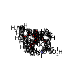 C/C=C1\NC(=O)[C@H](Cc2ccccc2)NC(=O)[C@@H]2CCCN2C(=O)[C@H](C(C)C)NC(=O)[C@H](Cc2c[nH]c3ccccc23)NC(=O)C2(CSCC(C(=O)N[C@@H](CS)C(=O)O)NC1=O)CC(NC(=O)[C@@H](CS)NC(=O)C1CSCC3(CC(N)C(=O)N[C@@H](CC(N)=O)C(=O)N[C@@H](C)C(=O)N3)C(=O)N[C@@H](C(C)C)C(=O)N[C@@H](Cc3c[nH]c4ccccc34)C(=O)N[C@@H](CCC(=O)O)C(=O)N1)C(=O)N[C@@H]([C@@H](C)O)C(=O)NCC(=O)N2